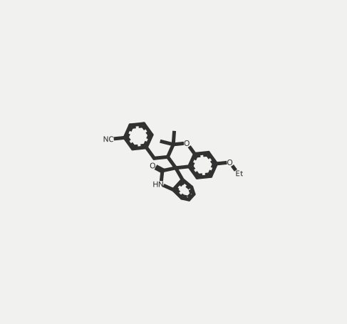 CCOc1ccc2c(c1)OC(C)(C)C(Cc1cccc(C#N)c1)C21C(=O)Nc2ccccc21